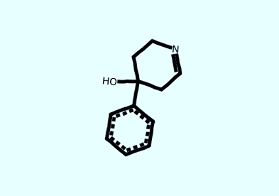 OC1(c2ccccc2)CC=NCC1